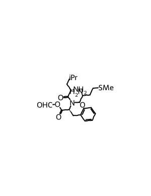 CSCC[C@H](N)C(=O)N(C(=O)[C@@H](N)CC(C)C)[C@@H](Cc1ccccc1)C(=O)OC=O